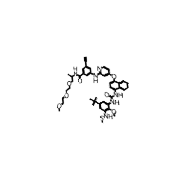 C#Cc1cc(Nc2cc(Oc3ccc(NC(=O)Nc4cc(C(C)(C)C)cc(NSC)c4OC)c4ccccc34)ccn2)cc(C(=O)NC(C)COCCOCCOC)c1